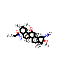 [C-]#[N+]C1=C[C@]2(C)C3=CC(=O)[C@@H]4[C@@H]5CC(C)(C)CC[C@]5(NC(=O)CC)CC[C@@]4(C)[C@]3(C)CC[C@H]2C(C)(C)C1=O